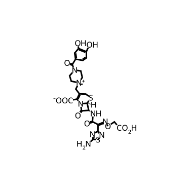 C[N+]1(CC2=C(C(=O)[O-])N3C(=O)[C@@H](NC(=O)C(=NOCC(=O)O)c4nsc(N)n4)[C@@H]3SC2)CCN(C(=O)c2ccc(O)c(O)c2)CC1